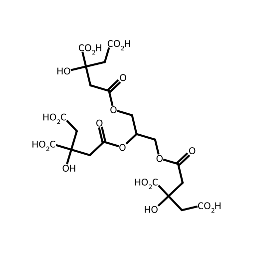 O=C(O)CC(O)(CC(=O)OCC(COC(=O)CC(O)(CC(=O)O)C(=O)O)OC(=O)CC(O)(CC(=O)O)C(=O)O)C(=O)O